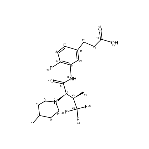 CC1CCN([C@@H](C(=O)Nc2cc(CCC(=O)O)ccc2F)[C@@H](C)C(F)(F)F)CC1